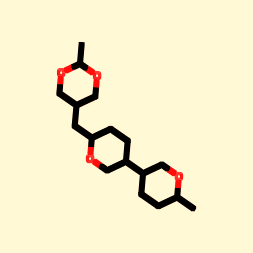 CC1CCC(C2CCC(CC3COC(C)OC3)OC2)CO1